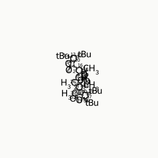 Cc1cc(C2C(=O)Oc3c2cc(C(C)(C)C)cc3C(C)(C)C)cc(C)c1O[PH](=O)Oc1c(C)cc(C2(C)C(=O)Oc3c(C(C)(C)C)cc(C(C)(C)C)cc32)cc1C